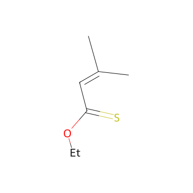 CCOC(=S)C=C(C)C